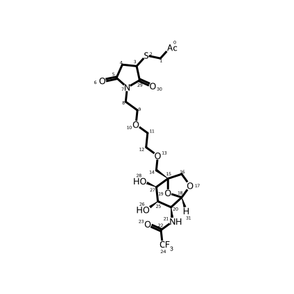 CC(=O)CSC1CC(=O)N(CCOCCOC[C@@]23CO[C@@H](O2)[C@@H](NC(=O)C(F)(F)F)[C@@H](O)[C@H]3O)C1=O